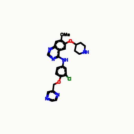 COc1cc2ncnc(Nc3ccc(OCc4cnccn4)c(Cl)c3)c2cc1OC1CCNCC1